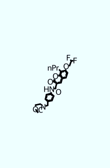 CCCc1c(OCC(F)F)ccc2cc(C(=O)Nc3ccc(CN4CCOCC4)cc3)c(=O)oc12